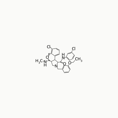 CCOc1cccc(CN2C[C@@H](C(=O)NC)C(c3cccc(Cl)c3F)C2C(=O)Nc2cccc(Cl)c2)c1